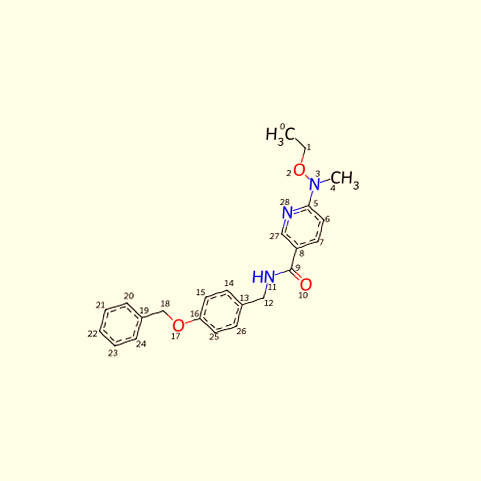 CCON(C)c1ccc(C(=O)NCc2ccc(OCc3ccccc3)cc2)cn1